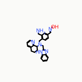 NCc1cc(/C=N/O)ccc1CN(Cc1nc2ccccc2[nH]1)C1CCCc2cccnc21